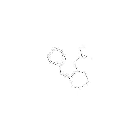 CC(=O)SC1CCNC/C1=C/c1ccccc1